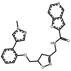 Cn1cc(-c2ccccc2OCC2CC(CNC(=O)c3cc4cnccc4o3)=NO2)cn1